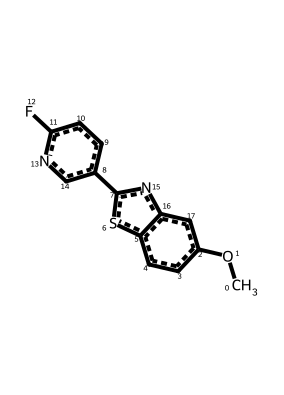 COc1ccc2sc(-c3ccc(F)nc3)nc2c1